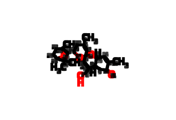 CC1=C[C@]2(C=C(CO)[C@H]3CC(=O)C(C)=C[C@H]3O2)O[C@H](C2C3(C)CCC(O3)C2(C)C)C1